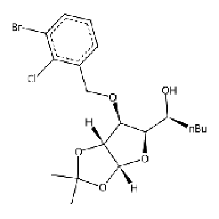 CCCC[C@H](O)[C@H]1O[C@@H]2OC(C)(C)O[C@@H]2[C@H]1OCc1cccc(Br)c1Cl